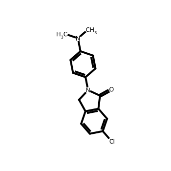 CN(C)c1ccc(N2Cc3ccc(Cl)cc3C2=O)cc1